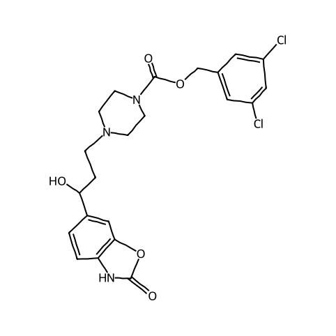 O=C(OCc1cc(Cl)cc(Cl)c1)N1CCN(CCC(O)c2ccc3[nH]c(=O)oc3c2)CC1